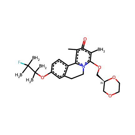 Bc1c(OC[C@@H]2COCCO2)n2c(c(C)c1=O)-c1ccc(OC(B)(B)C(B)(B)F)cc1CC2